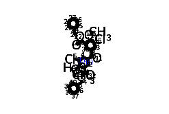 C=C(/C=C(\C=C(\Cl)COC)C(=O)c1cc(Cl)c(OC)c(C(=O)OCc2ccccc2)c1)C(=O)OCc1ccccc1